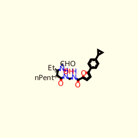 CCCCC[C@@H](C(=O)NCNC(=O)c1ccc(-c2ccc(C3CC3)cc2)o1)[C@@H](CC)N(O)C=O